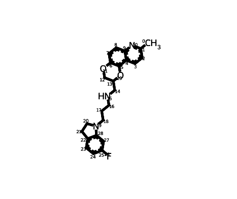 Cc1ccc2c3c(ccc2n1)OCC(CNCCCN1CCc2ccc(F)cc21)O3